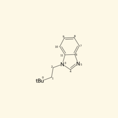 CC(C)(C)CCn1cnc2ccccc21